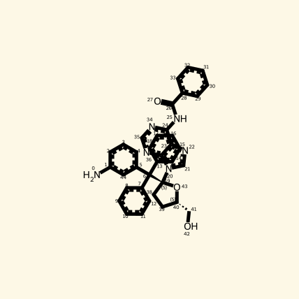 Nc1cccc(C(c2ccccc2)(c2ccccc2)[C@]2(n3cnc4c(NC(=O)c5ccccc5)ncnc43)CC[C@@H](CO)O2)c1